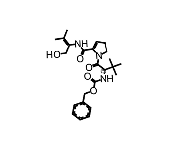 CC(C)=C(CO)NC(=O)C1=CCCN1C(=O)[C@@H](NC(=O)OCc1ccccc1)C(C)(C)C